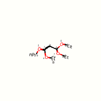 CCCOC(CC(OCC)OCC)OCC